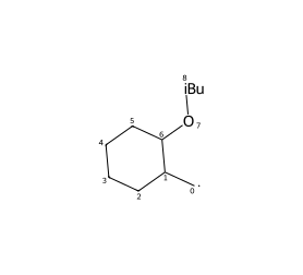 [CH2]C1CCCCC1OC(C)CC